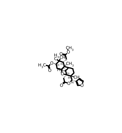 C=C1C2CC[C@]3(C)[C@H](c4ccoc4)OC(=O)C[C@]13OC1C[C@H](OC(C)=O)C(C)(C)[C@H](CC(=O)OC)[C@]12C